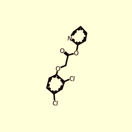 O=C(COc1ccc(Cl)cc1Cl)Oc1ccccn1